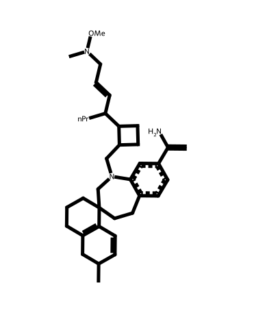 C=C(N)c1ccc2c(c1)N(CC1CCC1C(/C=C/CN(C)OC)CCC)CC1(CCCC3=C1C=CC(C)C3)CC2